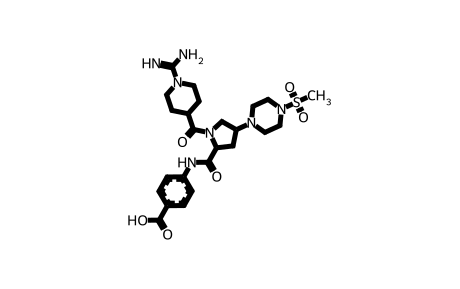 CS(=O)(=O)N1CCN(C2CC(C(=O)Nc3ccc(C(=O)O)cc3)N(C(=O)C3CCN(C(=N)N)CC3)C2)CC1